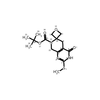 CSc1nc2c(c(=O)[nH]1)CC1(COC1)N(C(=O)OC(C)(C)C)C2